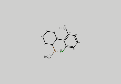 CCOC(=O)SC1CCCCC1c1c(Cl)cccc1C(=O)O